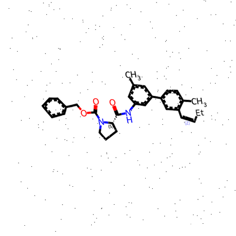 CC/C=C\c1cc(-c2cc(C)cc(NC(=O)[C@@H]3CCCN3C(=O)OCc3ccccc3)c2)ccc1C